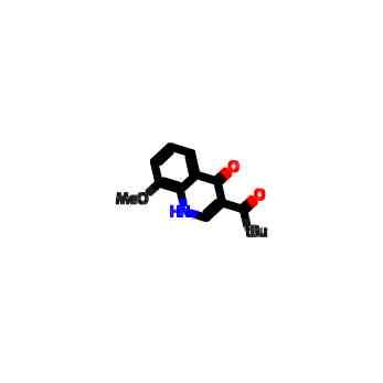 COc1cccc2c(=O)c(C(=O)C(C)(C)C)c[nH]c12